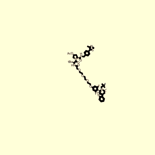 CC(=O)O[C@@H]1C[C@@H](C(=O)NCc2ccc(-c3scnc3C)cc2)N(C(=O)[C@@H](NC(=O)COCCOCCOCCOc2cc(F)c([C@@H]3c4[nH]c5ccccc5c4C[C@@H](C)N3CC(C)(C)F)c(F)c2)C(C)(C)C)C1